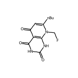 CCCCc1cc(=O)c2c(=O)[nH]c(=O)[nH]c2n1CF